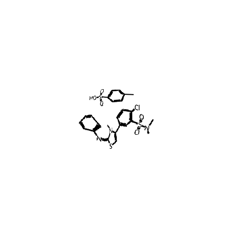 CN(C)S(=O)(=O)c1cc(-c2csc(=Nc3ccccc3)n2C)ccc1Cl.Cc1ccc(S(=O)(=O)O)cc1